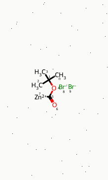 CC(C)(C)O[C](=O)[Zn+2].[Br-].[Br-]